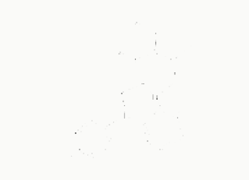 CC(CN1CCN(c2ccc(F)cc2)c2ccccc21)N1CCCCC1